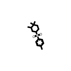 Cc1ccc(S(=O)(=O)C2CCC(C)(C)C(C)C2)cc1